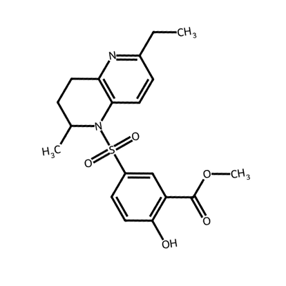 CCc1ccc2c(n1)CCC(C)N2S(=O)(=O)c1ccc(O)c(C(=O)OC)c1